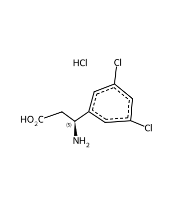 Cl.N[C@@H](CC(=O)O)c1cc(Cl)cc(Cl)c1